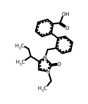 CCC(C)c1cn(CC)c(=O)n1Cc1ccccc1-c1ccccc1C(=O)O